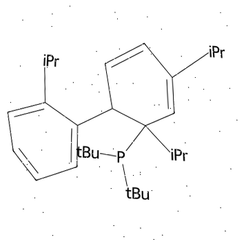 CC(C)C1=CC(C(C)C)(P(C(C)(C)C)C(C)(C)C)C(c2ccccc2C(C)C)C=C1